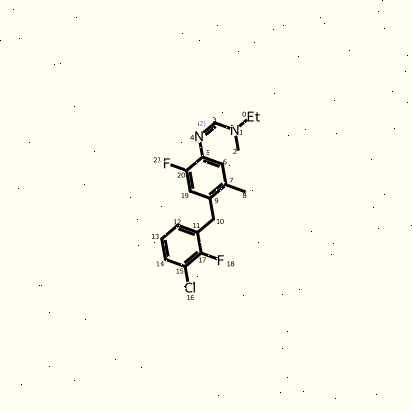 CCN(C)/C=N\c1cc(C)c(Cc2cccc(Cl)c2F)cc1F